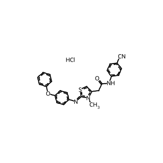 Cl.Cn1c(CC(=O)Nc2ccc(C#N)cc2)csc1=Nc1ccc(Oc2ccccc2)cc1